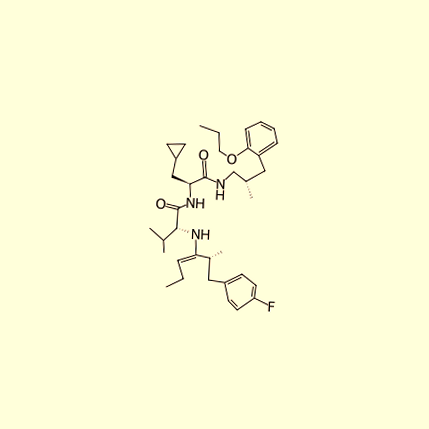 CC/C=C(/N[C@@H](C(=O)N[C@@H](CC1CC1)C(=O)NC[C@@H](C)Cc1ccccc1OCCC)C(C)C)[C@H](C)Cc1ccc(F)cc1